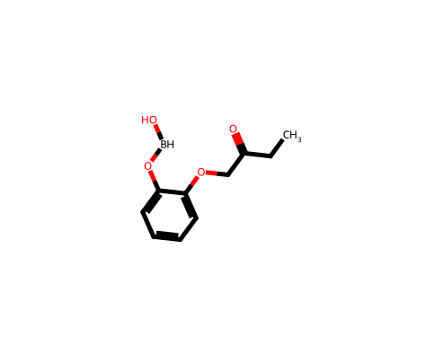 CCC(=O)COc1ccccc1OBO